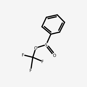 O=S(OC(F)(F)F)c1ccccc1